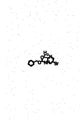 Cc1ncc(Br)cc1NC(=O)OCc1ccccc1